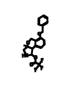 CC12CNC(OC(=O)C(F)(F)F)C1c1cccc(OCc3ccccc3)c1CO2